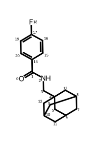 O=C(NCC12CC3CC(CC(C3)C1)C2)c1ccc(F)cc1